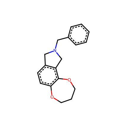 c1ccc(CN2Cc3ccc4c(c3C2)OCCCO4)cc1